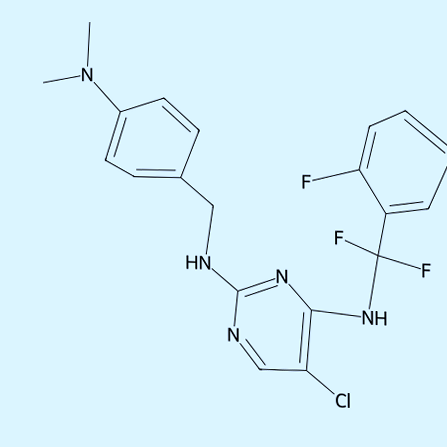 CN(C)c1ccc(CNc2ncc(Cl)c(NC(F)(F)c3ccccc3F)n2)cc1